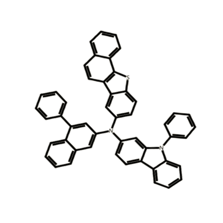 c1ccc(-c2cc(N(c3ccc4sc5c6ccccc6ccc5c4c3)c3ccc4c5ccccc5n(-c5ccccc5)c4c3)cc3ccccc23)cc1